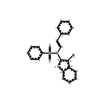 O=S(=O)(c1ccccc1)N(C=Cc1ccccc1)c1sc2ccccc2c1Br